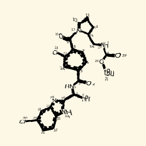 CCCC(NC(=O)c1ccc(C(=O)N2CCCC2CNC(=O)OC(C)(C)C)c(Cl)c1)c1nc2cc(Cl)ccc2[nH]1